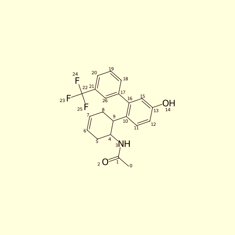 CC(=O)NC1CC=CCC1c1ccc(O)cc1-c1cccc(C(F)(F)F)c1